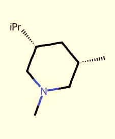 CC(C)[C@@H]1C[C@H](C)CN(C)C1